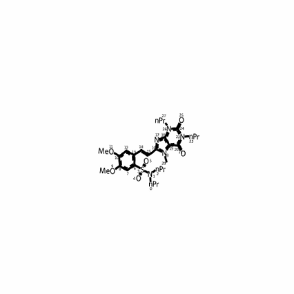 CCCN(CCC)S(=O)(=O)c1cc(OC)c(OC)cc1C=Cc1nc2c(c(=O)n(CCC)c(=O)n2CCC)n1C